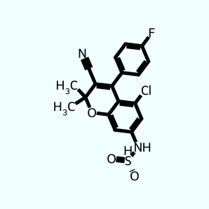 CC1(C)Oc2cc(N[SH](=O)=O)cc(Cl)c2C(c2ccc(F)cc2)=C1C#N